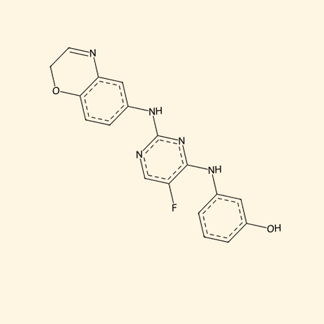 Oc1cccc(Nc2nc(Nc3ccc4c(c3)N=CCO4)ncc2F)c1